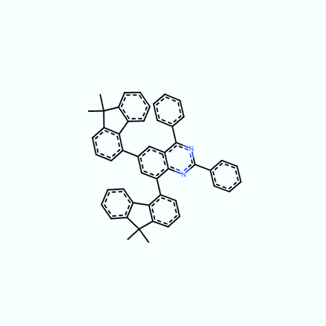 CC1(C)c2ccccc2-c2c(-c3cc(-c4cccc5c4-c4ccccc4C5(C)C)c4nc(-c5ccccc5)nc(-c5ccccc5)c4c3)cccc21